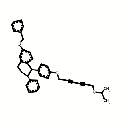 CC(C)OCC#CC#CCOc1ccc([C@@H]2c3ccc(OCc4ccccc4)cc3CC[C@@H]2c2ccccc2)cc1